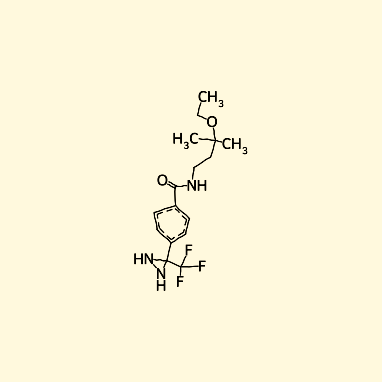 CCOC(C)(C)CCNC(=O)c1ccc(C2(C(F)(F)F)NN2)cc1